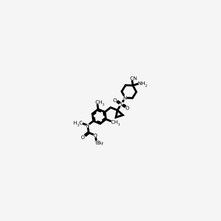 Cc1cc(N(C)C(=O)OC(C)(C)C)cc(C)c1CC1(S(=O)(=O)N2CCC(N)(C#N)CC2)CC1